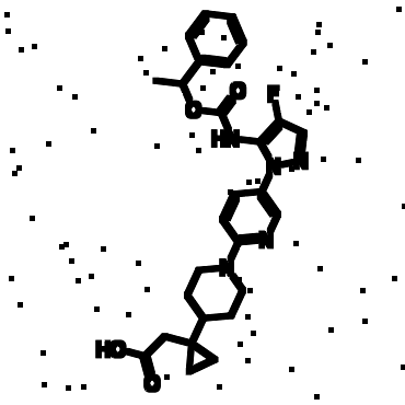 CC(OC(=O)Nc1c(F)cnn1-c1ccc(N2CCC(C3(CC(=O)O)CC3)CC2)nc1)c1ccccc1